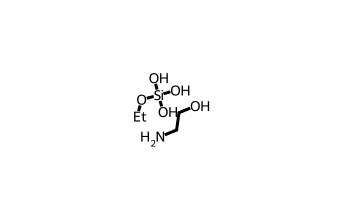 CCO[Si](O)(O)O.NCCO